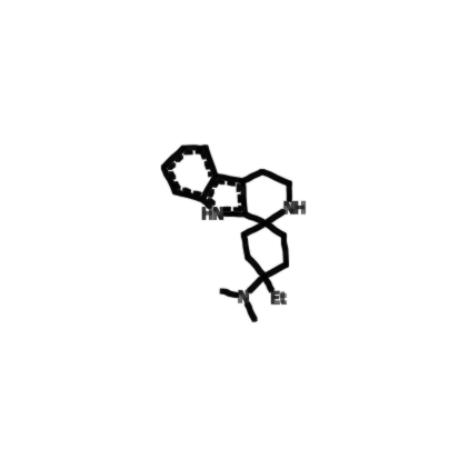 CCC1(N(C)C)CCC2(CC1)NCCc1c2[nH]c2ccccc12